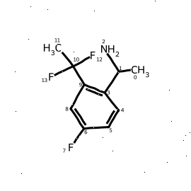 CC(N)c1ccc(F)cc1C(C)(F)F